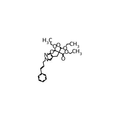 CCOC(=O)C(Cc1cnn(CC=Cc2ccccc2)c1)(C(=O)OCC)C(=O)OCC